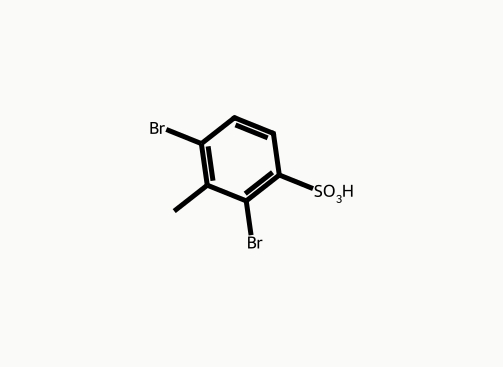 Cc1c(Br)ccc(S(=O)(=O)O)c1Br